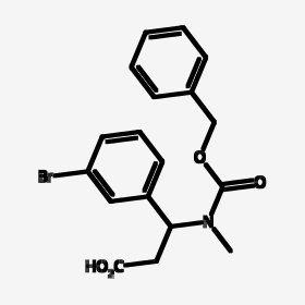 CN(C(=O)OCc1ccccc1)C(CC(=O)O)c1cccc(Br)c1